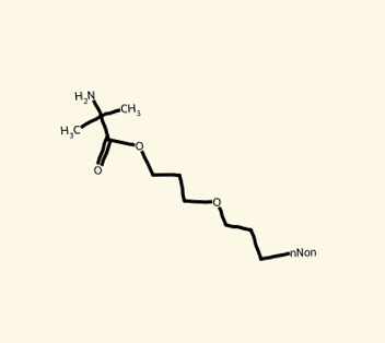 CCCCCCCCCCCCOCCCOC(=O)C(C)(C)N